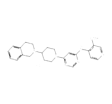 COc1cnccc1Nc1cc(N2CCC(N3CCc4ccccc4C3)[C@@H](O)C2)ncn1